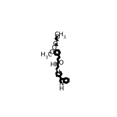 COCCOCOc1ccc(C=CC(=O)NCCN2CCC(c3c[nH]c4ccccc34)CC2)cc1OC